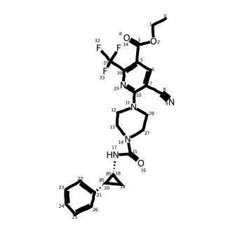 CCOC(=O)c1cc(C#N)c(N2CCN(C(=O)N[C@@H]3C[C@@H]3c3ccccc3)CC2)nc1C(F)(F)F